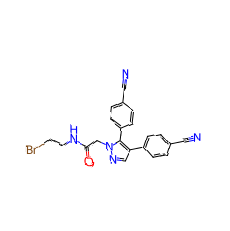 N#Cc1ccc(-c2cnn(CC(=O)NCCBr)c2-c2ccc(C#N)cc2)cc1